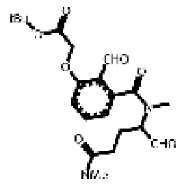 CNC(=O)CCC(C=O)N(C)C(=O)c1cccc(OCC(=O)OC(C)(C)C)c1C=O